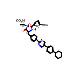 C[C@@H](NC(=O)[C@H](Cc1ccc(-c2ncc(-c3ccc(C4CCCCC4)cc3)cn2)cc1)NC(=O)c1ccc(C(C)(C)C)s1)C(=O)O